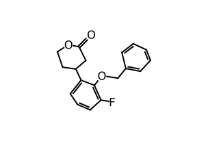 O=C1CC(c2cccc(F)c2OCc2ccccc2)CCO1